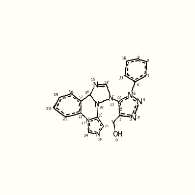 OCc1nnn(-c2ccccc2)c1N1C=NC2c3ccccc3-n3cncc3N21